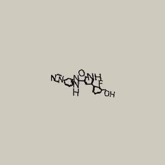 CN1CCN(c2ccc3[nH]c(-c4cc(-c5cccc(CO)c5F)c[nH]c4=O)nc3c2)CC1